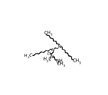 CCCCCCCCCN(CCCCCCCCC)CCN(CCCCCCCCC)CC(=O)N(C)CCNC